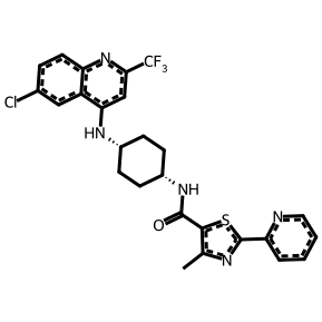 Cc1nc(-c2ccccn2)sc1C(=O)N[C@H]1CC[C@@H](Nc2cc(C(F)(F)F)nc3ccc(Cl)cc23)CC1